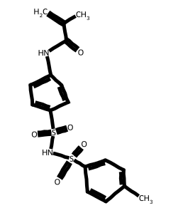 C=C(C)C(=O)Nc1ccc(S(=O)(=O)NS(=O)(=O)c2ccc(C)cc2)cc1